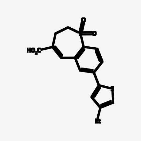 CCc1csc(-c2ccc3c(c2)C=C(C(=O)O)CCS3(=O)=O)c1